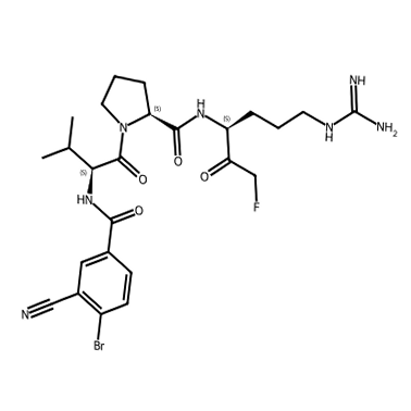 CC(C)[C@H](NC(=O)c1ccc(Br)c(C#N)c1)C(=O)N1CCC[C@H]1C(=O)N[C@@H](CCCNC(=N)N)C(=O)CF